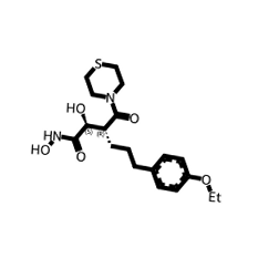 CCOc1ccc(CCC[C@@H](C(=O)N2CCSCC2)[C@H](O)C(=O)NO)cc1